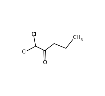 CCCC(=O)C(Cl)Cl